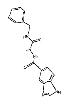 O=C(NCc1ccccc1)NNC(=O)c1ccc2[nH]cnc2c1